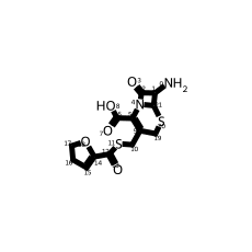 NC1C(=O)N2C(C(=O)O)=C(CSC(=O)C3=CCCO3)CSC12